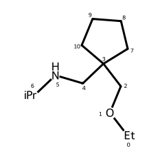 CCOCC1(CNC(C)C)CCCC1